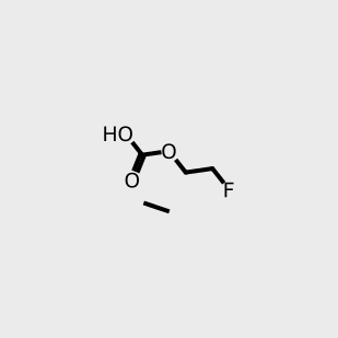 CC.O=C(O)OCCF